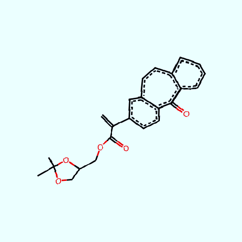 C=C(C(=O)OCC1COC(C)(C)O1)c1ccc2c(=O)c3ccccc3ccc2c1